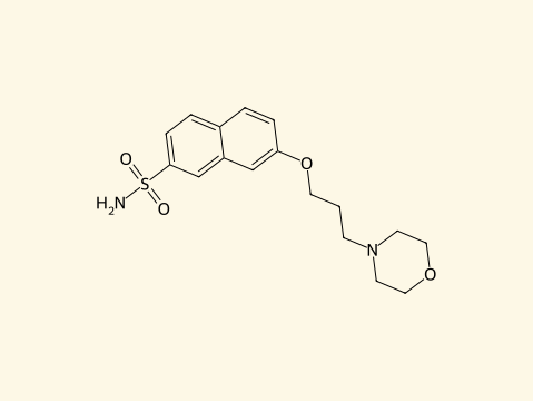 NS(=O)(=O)c1ccc2ccc(OCCCN3CCOCC3)cc2c1